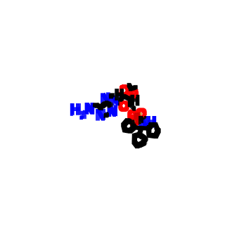 CC1(C)O[C@@H]2[C@H](O1)[C@@H](COS(=O)(=O)NC(c1ccccc1)(c1ccccc1)c1ccccc1)O[C@H]2n1cnc2c(CN)ncnc21